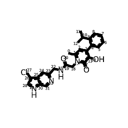 Cc1cc(-c2ccccc2C(C)C)c(O)c(=O)n1CC(=O)NCc1cc2c(Cl)c[nH]c2cn1